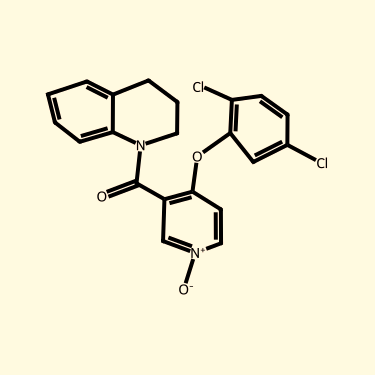 O=C(c1c[n+]([O-])ccc1Oc1cc(Cl)ccc1Cl)N1CCCc2ccccc21